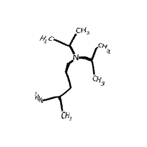 CC([NH])CCN(C(C)C)C(C)C